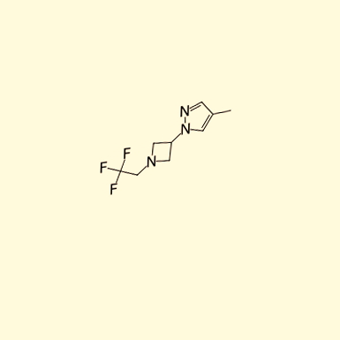 Cc1cnn(C2CN(CC(F)(F)F)C2)c1